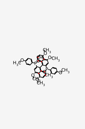 COc1ccc(P(c2ccc(OC)cc2)c2cc(OC)cc(OC)c2-c2c(OC)cc(OC)cc2P(c2ccc(OC)cc2)c2ccc(OC)cc2)cc1